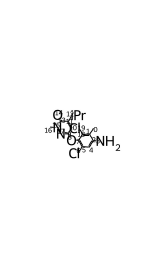 Cc1c(N)cc(Cl)c(Oc2cc(C(C)C)c(=O)n(C)n2)c1Cl